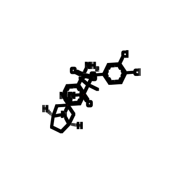 CC(C)(Oc1ccc(Cl)c(Cl)c1)C(=O)N[C@H]1C[C@H]2CC[C@@H](C1)N2c1ccc(S(N)(=O)=O)cn1